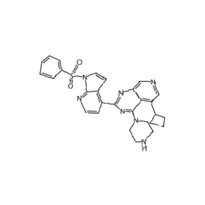 O=S(=O)(c1ccccc1)n1ccc2c(-c3nc(N4CCNCC4)c4c(C5CCC5)cncc4n3)ccnc21